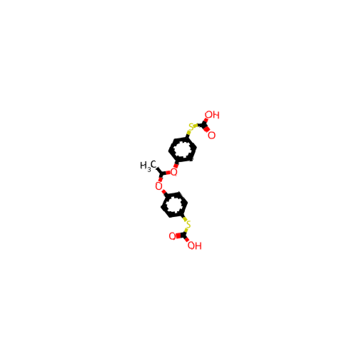 CC(Oc1ccc(SC(=O)O)cc1)Oc1ccc(SC(=O)O)cc1